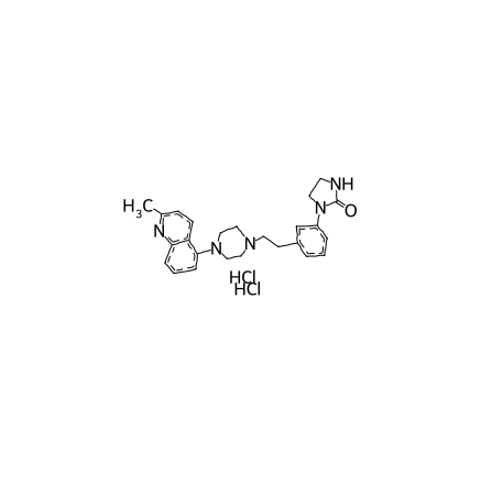 Cc1ccc2c(N3CCN(CCc4cccc(N5CCNC5=O)c4)CC3)cccc2n1.Cl.Cl